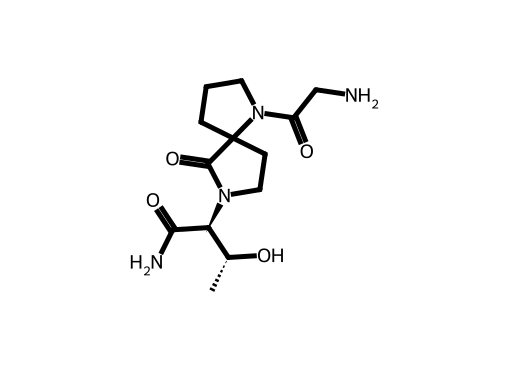 C[C@@H](O)[C@@H](C(N)=O)N1CCC2(CCCN2C(=O)CN)C1=O